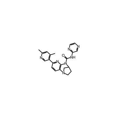 Cc1cc(C)c(-c2ccc3c(n2)N(C(=O)Nc2cnccn2)C2CCN3C2)cn1